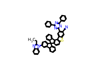 CCc1nc2ccccc2n1-c1ccc2c(c1)-c1ccccc1C21c2ccccc2-c2c1ccc1sc3cc(C#N)c(-c4nc(-c5ccccc5)nc(-c5ccccc5)n4)cc3c21